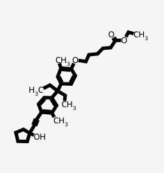 CCOC(=O)CCCCCOc1ccc(C(CC)(CC)c2ccc(C#CC3(O)CCCC3)c(C)c2)cc1C